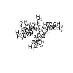 Cc1cc(C[C@H]2CN(C(=O)OC(C)(C)C)C[C@H]2OC(=O)[C@]23CC[C@](C)(C2)C(=O)O3)nc(N(Cc2ccccc2)C(=O)OC(C)(C)C)c1